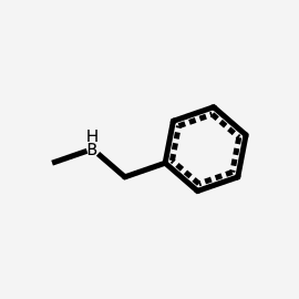 CBCc1ccccc1